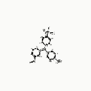 C=Cc1cccc(N(c2ccc(C(C)C)cc2)c2ccc(C(C)(C)CC)cc2)c1